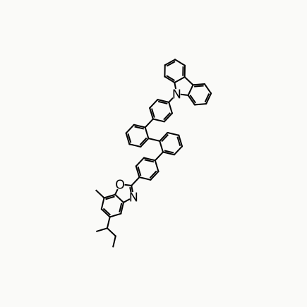 CCC(C)c1cc(C)c2oc(-c3ccc(-c4ccccc4-c4ccccc4-c4ccc(-n5c6ccccc6c6ccccc65)cc4)cc3)nc2c1